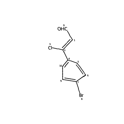 O=CC=C(Cl)c1ccc(Br)cc1